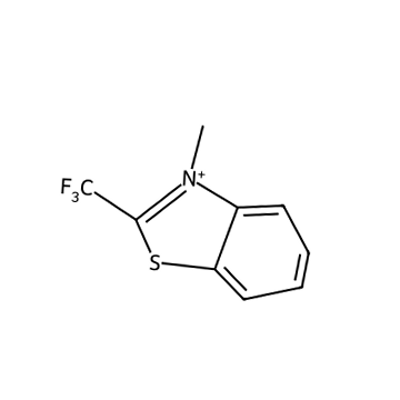 C[n+]1c(C(F)(F)F)sc2ccccc21